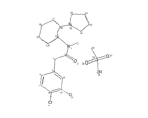 CN(C(=O)Cc1ccc(Cl)c(Cl)c1)C1CCCCC1N1CCCC1.CS(=O)(=O)O